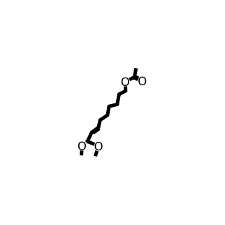 COC(/C=C/CCCCCCOC(C)=O)OC